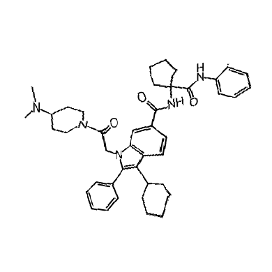 CN(C)C1CCN(C(=O)Cn2c(-c3ccccc3)c(C3CCCCC3)c3ccc(C(=O)NC4(C(=O)Nc5[c]cccc5)CCCC4)cc32)CC1